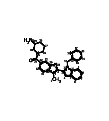 Cc1c(-c2cc3ccccc3n2Cc2ccccn2)nc2cc(C(=O)N3CCCC(N)C3)ccn12